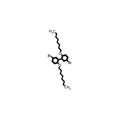 CCCCCCCCOc1ccc(Br)cc1-c1cc(Br)ccc1OCCCCCCCC